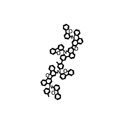 Cc1cccc(N(c2cc3c4cc(N(c5ccc(-c6ccc7c(c6)c6cccc8c9oc%10c(cc%11c%12c(cccc%10%12)c%10ccccc%10n%11-c%10cccc%11c%10oc%10ccccc%10%11)c9cc(c68)n7-c6cccc7c6oc6ccccc67)c(C)c5)c5cccc6c5oc5ccccc56)c5ccccc5c4oc3c3ccccc23)c2cccc3c2oc2ccccc23)c1